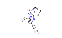 CN(C(=O)c1cc2nc(-c3ccc([N+](=O)[O-])cc3)cc(C(F)(F)F)n2n1)C1CCCCC1